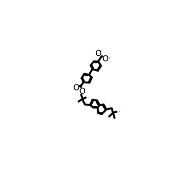 [CH2]C(C)(C)Cc1ccc2cc(CC(C)(C)COC(=O)c3ccc(-c4ccc(C([O])=O)cc4)cc3)ccc2c1